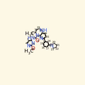 COc1nccc(NC(=O)N2c3nc(-c4cccc(N5CCCC5)c4)ccc3NCC[C@H]2C)n1